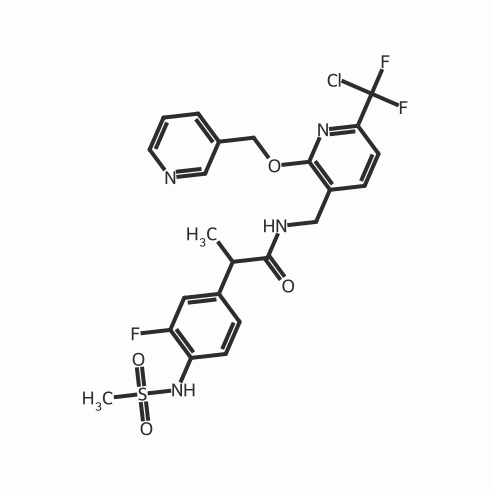 CC(C(=O)NCc1ccc(C(F)(F)Cl)nc1OCc1cccnc1)c1ccc(NS(C)(=O)=O)c(F)c1